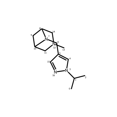 CC(C)n1cc(CN2C3CC2CN(C)C3)cn1